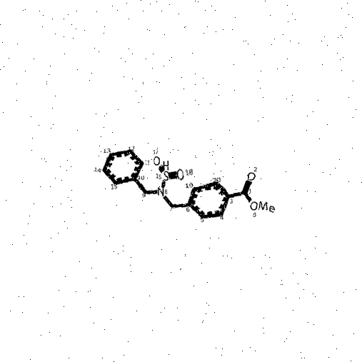 COC(=O)c1ccc(CN(Cc2ccccc2)[SH](=O)=O)cc1